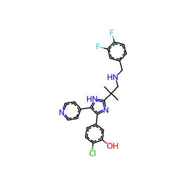 CC(C)(CNCc1ccc(F)c(F)c1)c1nc(-c2ccc(Cl)c(O)c2)c(-c2ccncc2)[nH]1